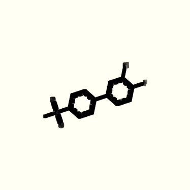 CS(=O)(=O)c1ccc(-c2ccc(F)c(Cl)c2)cc1